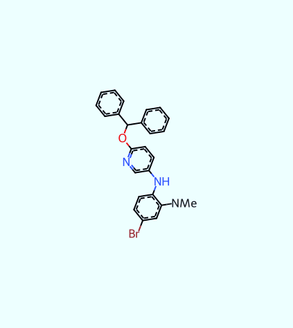 CNc1cc(Br)ccc1Nc1ccc(OC(c2ccccc2)c2ccccc2)nc1